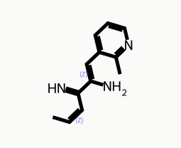 C/C=C\C(=N)/C(N)=C/c1cccnc1C